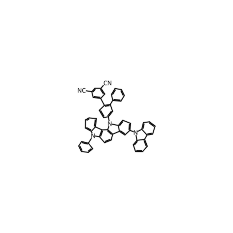 N#Cc1cc(C#N)cc(-c2ccc(-n3c4ccc(-n5c6ccccc6c6ccccc65)cc4c4ccc5c(c6ccccc6n5-c5ccccc5)c43)cc2-c2ccccc2)c1